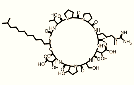 CC(C)CCCCCCCCCC1CC(=O)NC(C(C)O)C(=O)N2CCCC2C(=O)N2CCCC2C(=O)NC(CCCNC(=N)N)C(=O)NC(C(O)C(=O)O)C(=O)NC(CO)C(=O)N2CCC(O)C2C(=O)NC(C(O)C(=O)O)C(=O)O1